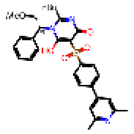 CCCCc1nc(=O)c(S(=O)(=O)c2ccc(-c3cc(C)nc(C)c3)cc2)c(O)n1[C@@H](COC)c1ccccc1